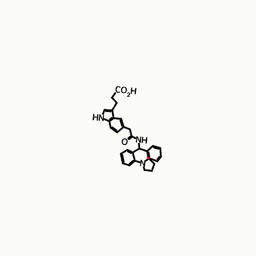 O=C(O)CCc1c[nH]c2ccc(CC(=O)NC(c3ccccc3)c3ccccc3N3CCCC3)cc12